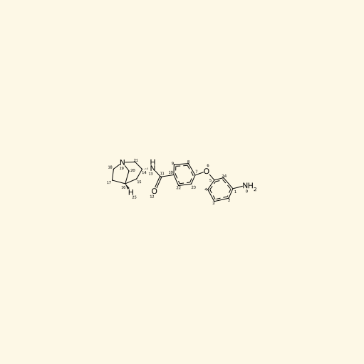 Nc1cccc(Oc2ccc(C(=O)N[C@@H]3C[C@@H]4CCN(C4)C3)cc2)c1